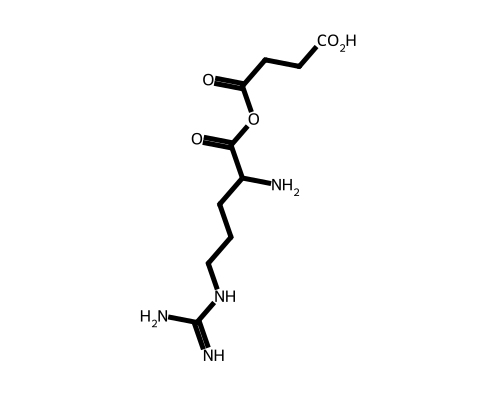 N=C(N)NCCCC(N)C(=O)OC(=O)CCC(=O)O